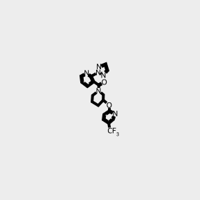 O=C(c1cccnc1-n1nccn1)N1CCCC(Oc2ccc(C(F)(F)F)cn2)C1